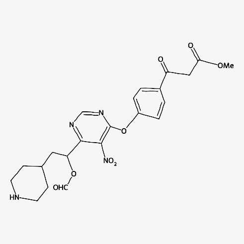 COC(=O)CC(=O)c1ccc(Oc2ncnc(C(CC3CCNCC3)OC=O)c2[N+](=O)[O-])cc1